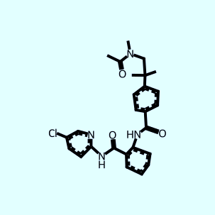 CC(=O)N(C)CC(C)(C)c1ccc(C(=O)Nc2ccccc2C(=O)Nc2ccc(Cl)cn2)cc1